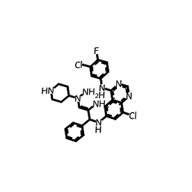 N/C(=C\N(N)C1CCNCC1)C(Nc1cc(Cl)c2ncnc(Nc3ccc(F)c(Cl)c3)c2c1)c1ccccc1